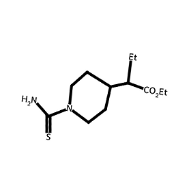 CCOC(=O)C(CC)C1CCN(C(N)=S)CC1